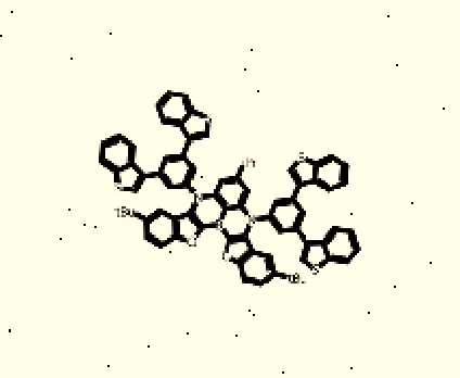 CC(C)c1cc2c3c(c1)N(c1cc(-c4csc5ccccc45)cc(-c4csc5ccccc45)c1)c1c(oc4ccc(C(C)(C)C)cc14)B3c1oc3ccc(C(C)(C)C)cc3c1N2c1cc(-c2csc3ccccc23)cc(-c2csc3ccccc23)c1